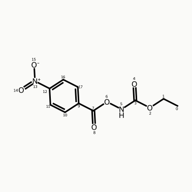 CCOC(=O)NOC(=O)c1ccc([N+](=O)[O-])cc1